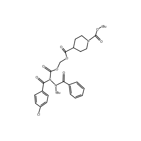 CC(C)(C)OC(=O)N1CCC(C(=O)OCOC(=O)N(C(=O)c2ccc(Cl)cc2)N(C(=O)c2ccccc2)C(C)(C)C)CC1